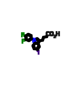 O=C(O)CCCc1cn(-c2ccc(F)c(F)c2)c2ccc(I)cc12